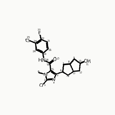 Cn1c(Cl)nc(C2CC3CC(O)CC3C2)c1C(=O)Nc1ccc(F)c(Cl)c1